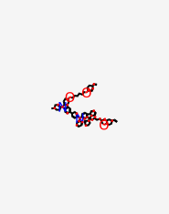 C=CC1C=CC(OCCCCCCOC2CCC3C(C2)c2cc(C4C=CC(N(c5ccccc5)c5ccc6c(c5)C(CC(C)CCC(C)COC5CCC(C=C)CC5)(C5C=CCCC5)C5C=CC=CC65)=CC4)ccc2N3C2=CCC(C)CC2)=CC1